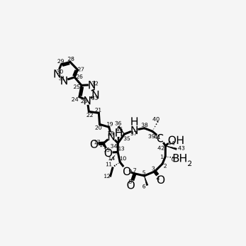 B[C@@H]1CC(=O)[C@@H](C)C(=O)O[C@H](CC)[C@@]2(C)OC(=O)N(CCCCn3cc(-c4cccnn4)nn3)[C@@H]2[C@@H](C)NC[C@H](C)C[C@]1(C)O